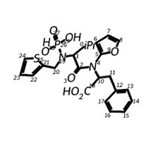 CC(C)C(C(=O)N(c1ccco1)C(Cc1ccccc1)C(=O)O)N(Cc1cccs1)P(=O)(O)O